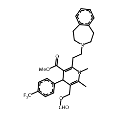 COC(=O)C1=C(CCN2CCc3ccccc3CC2)N(C)C(C)=C(COC=O)C1c1ccc(C(F)(F)F)cc1